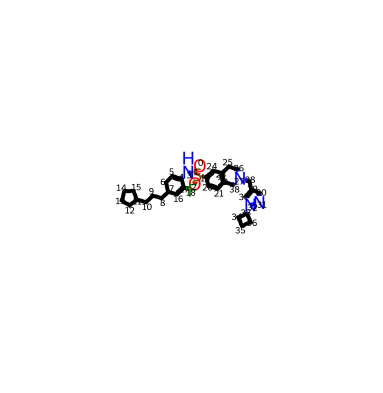 O=S(=O)(NC1=CCC(CCCC2CCCC2)C=C1F)c1ccc2c(c1)CCN(Cc1cnn(C3CCC3)c1)C2